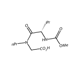 CCCN(CC(=O)O)C(=O)[C@@H](NC(=O)OC)C(C)C